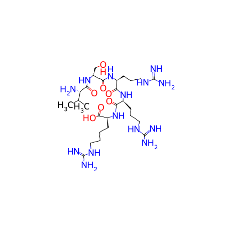 CC(C)[C@H](N)C(=O)N[C@@H](CO)C(=O)N[C@@H](CCCNC(=N)N)C(=O)N[C@@H](CCCNC(=N)N)C(=O)N[C@@H](CCCCNC(=N)N)C(=O)O